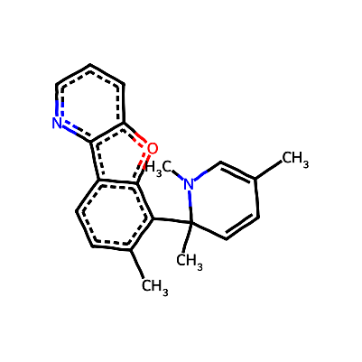 CC1=CN(C)C(C)(c2c(C)ccc3c2oc2cccnc23)C=C1